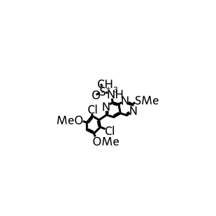 COc1cc(OC)c(Cl)c(-c2cc3cnc(SC)nc3c(N[S+](C)[O-])n2)c1Cl